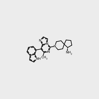 Cc1nc(N2CCC3(CCC[C@H]3N)CC2)n2ccnc2c1-c1cccc2cc[nH]c12